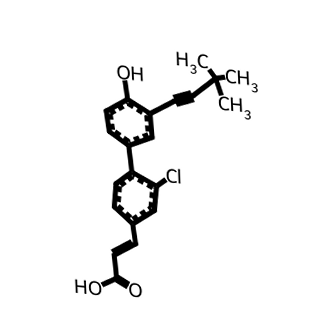 CC(C)(C)C#Cc1cc(-c2ccc(/C=C/C(=O)O)cc2Cl)ccc1O